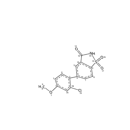 COc1ccc(-c2ccc3c(c2)C(=O)NS3(=O)=O)c(Cl)c1